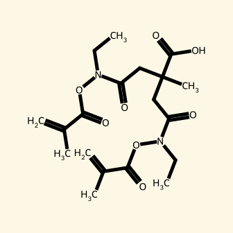 C=C(C)C(=O)ON(CC)C(=O)CC(C)(CC(=O)N(CC)OC(=O)C(=C)C)C(=O)O